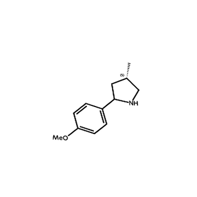 COc1ccc(C2C[C@H](C)CN2)cc1